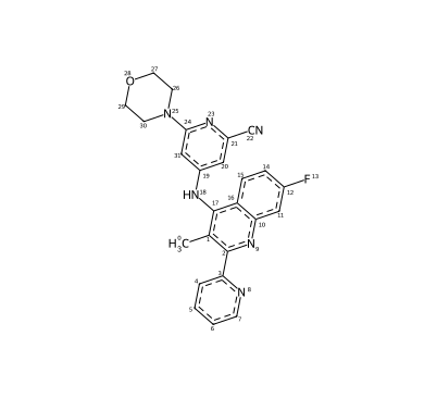 Cc1c(-c2ccccn2)nc2cc(F)ccc2c1Nc1cc(C#N)nc(N2CCOCC2)c1